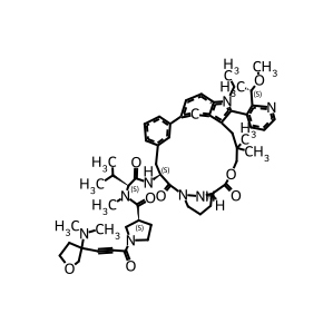 CCn1c(-c2cccnc2[C@H](C)OC)c2c3cc(ccc31)-c1cccc(c1)C[C@H](NC(=O)[C@H](C(C)C)N(C)C(=O)[C@H]1CCN(C(=O)C#CC3(N(C)C)CCOC3)C1)C(=O)N1CCC[C@H](N1)C(=O)OCC(C)(C)C2